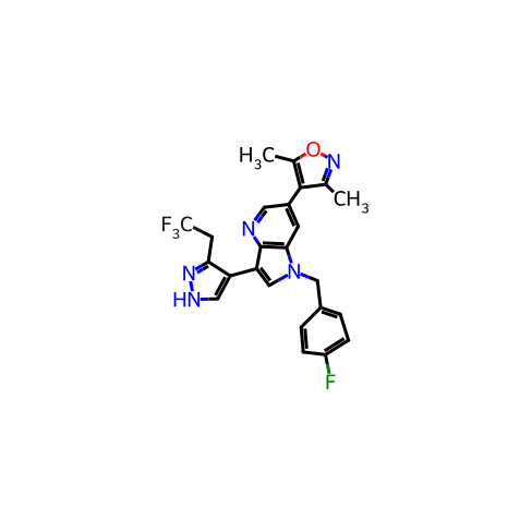 Cc1noc(C)c1-c1cnc2c(-c3c[nH]nc3CC(F)(F)F)cn(Cc3ccc(F)cc3)c2c1